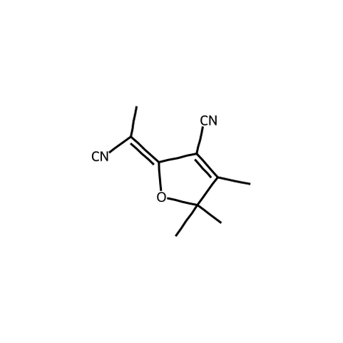 [C-]#[N+]/C(C)=C1\OC(C)(C)C(C)=C1C#N